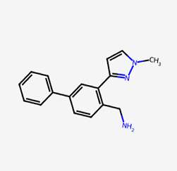 Cn1ccc(-c2cc(-c3ccccc3)ccc2CN)n1